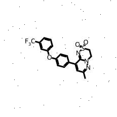 CC1=NN2CCS(=O)(=O)N=C2C(c2ccc(Oc3cccc(C(F)(F)F)c3)cc2)=C1